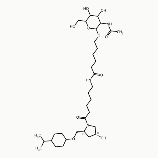 CC(=O)NC1C(OCCCCCC(=O)NCCCCCC(=O)N2C[C@H](O)C[C@H]2COC2CCC(C(C)C)CC2)OC(CO)C(O)C1O